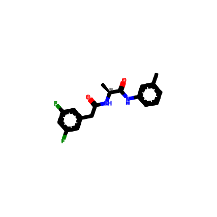 Cc1[c]ccc(NC(=O)[C@H](C)NC(=O)Cc2cc(F)cc(F)c2)c1